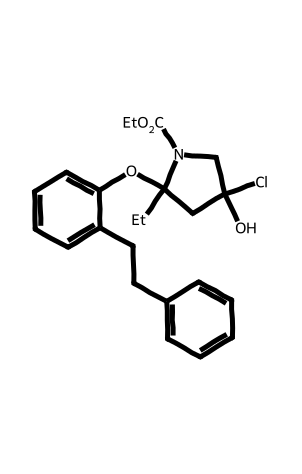 CCOC(=O)N1CC(O)(Cl)CC1(CC)Oc1ccccc1CCc1ccccc1